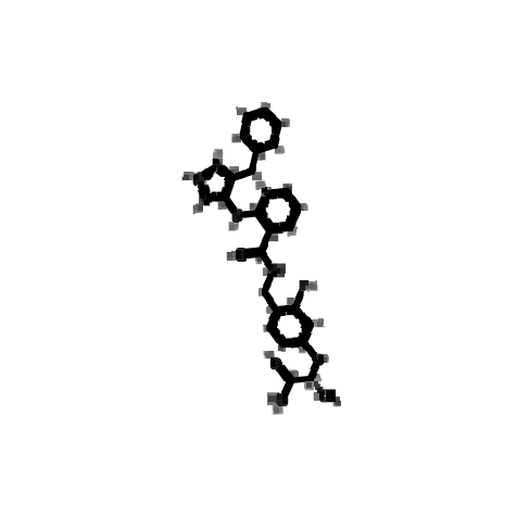 C[C@@H](Oc1ccc(CNC(=O)c2cccnc2Oc2nonc2Cc2ccccc2)c(F)c1)C(=O)O